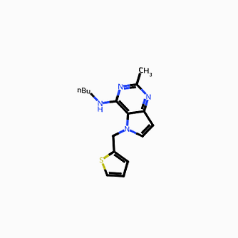 CCCCNc1nc(C)nc2ccn(Cc3cccs3)c12